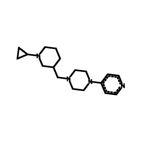 c1cc(N2CCN(CC3CCCN(C4CC4)C3)CC2)ccn1